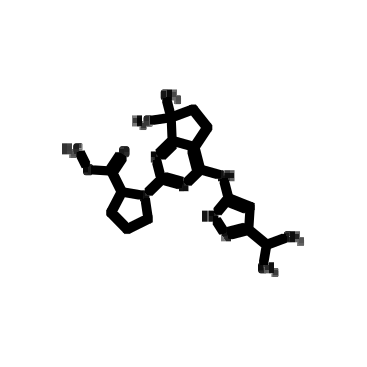 COC(=O)C1CCCN1c1nc(Nc2cc(C(C)C)n[nH]2)c2c(n1)C(C)(C)CC2